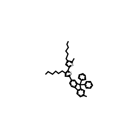 CCCCCCc1cc(-c2sc(-c3ccc4c(c3)C(c3ccccc3)(c3ccccc3)c3cc(C)ccc3-4)cc2CCCCCC)sc1C